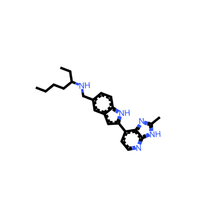 CCCCC(CC)NCc1ccc2[nH]c(-c3ccnc4[nH]c(C)nc34)cc2c1